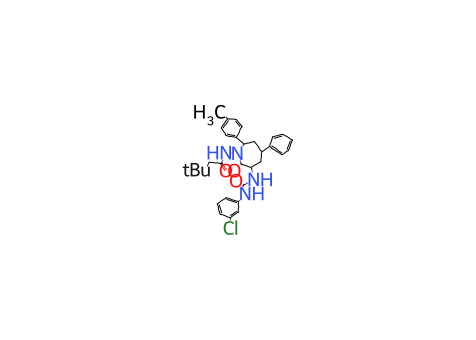 Cc1ccc(C2CC(c3ccccc3)CC(NC(=O)Nc3cccc(Cl)c3)C(=O)N2NC(=O)CC(C)(C)C)cc1